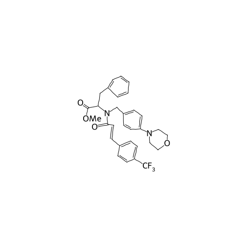 COC(=O)C(Cc1ccccc1)N(Cc1ccc(N2CCOCC2)cc1)C(=O)C=Cc1ccc(C(F)(F)F)cc1